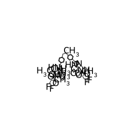 C[C@@H](Cc1ccc(-c2cnc([C@@H](NC(=O)[C@@]3(C)CCC(F)(F)CO3)C(C)(C)C)[nH]2)cc1)c1ccc(-c2cnc([C@@H](NC(=O)[C@@]3(C)CCC(F)(F)CO3)C(C)(C)C)[nH]2)cc1